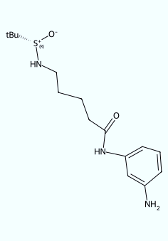 CC(C)(C)[S@+]([O-])NCCCCC(=O)Nc1cccc(N)c1